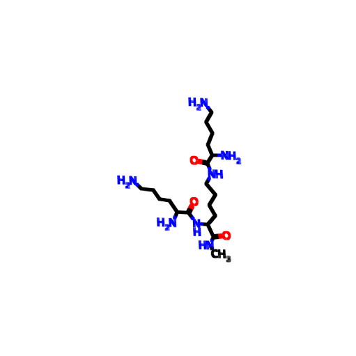 CNC(=O)C(CCCCNC(=O)C(N)CCCCN)NC(=O)C(N)CCCCN